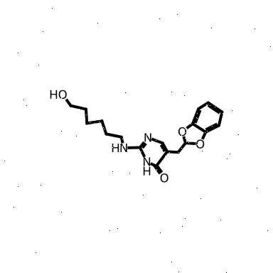 O=c1[nH]c(NCCCCCCO)ncc1CC1Oc2ccccc2O1